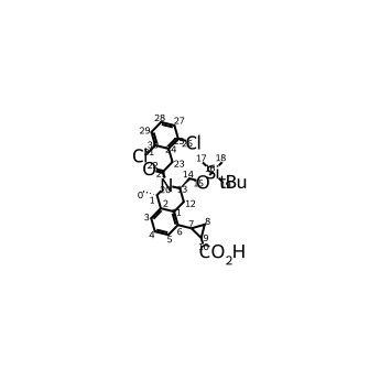 C[C@H]1c2cccc(C3CC3C(=O)O)c2C[C@H](CO[Si](C)(C)C(C)(C)C)N1C(=O)Cc1c(Cl)cccc1Cl